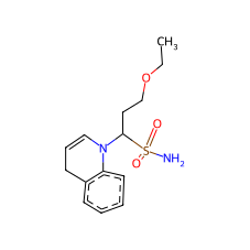 CCOCCC(N1C=CCc2ccccc21)S(N)(=O)=O